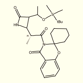 CC(O[Si](C)(C)C(C)(C)C)C1C(=O)NC1[C@@H](C)C(=O)N1C(=O)c2ccccc2OC12CCCCC2